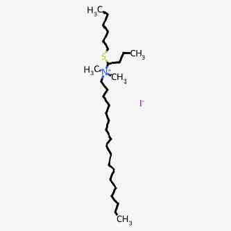 CCCCCCCCCCCCCCCCCC[N+](C)(C)C(CCC)SCCCCCC.[I-]